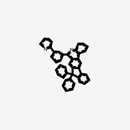 c1ccc(C2(c3ccccc3)c3ccccc3-c3cc4c(cc32)c(-c2cccc(-c3ccccn3)c2)nc2ccccc24)cc1